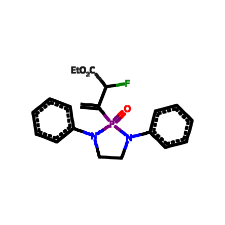 C=C(C(F)C(=O)OCC)P1(=O)N(c2ccccc2)CCN1c1ccccc1